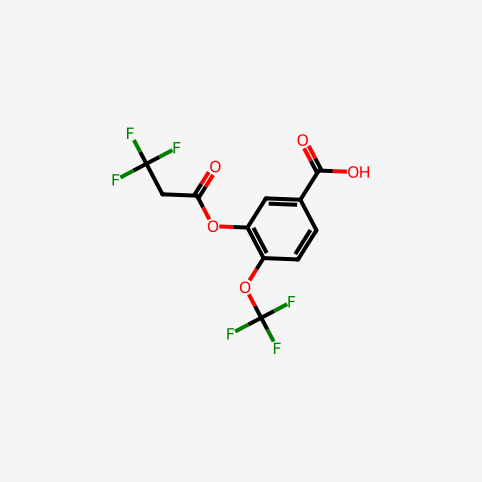 O=C(CC(F)(F)F)Oc1cc(C(=O)O)ccc1OC(F)(F)F